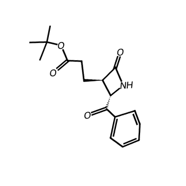 CC(C)(C)OC(=O)CC[C@H]1C(=O)N[C@@H]1C(=O)c1ccccc1